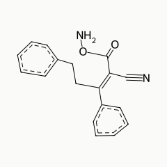 N#CC(C(=O)ON)=C(CCc1ccccc1)c1ccccc1